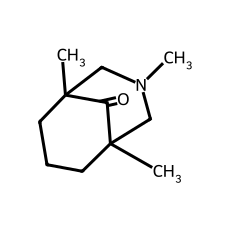 CN1CC2(C)CCCC(C)(C1)C2=O